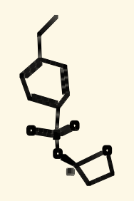 CCc1ccc(S(=O)(=O)O[C@@H]2CCO2)cc1